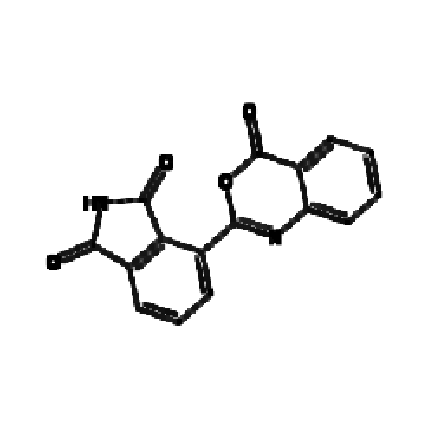 O=C1NC(=O)c2c1cccc2-c1nc2ccccc2c(=O)o1